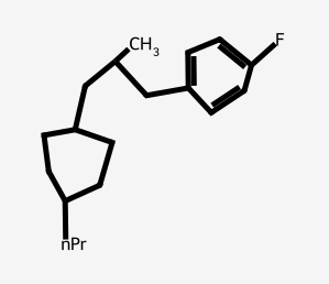 CCCC1CCC(CC(C)Cc2ccc(F)cc2)CC1